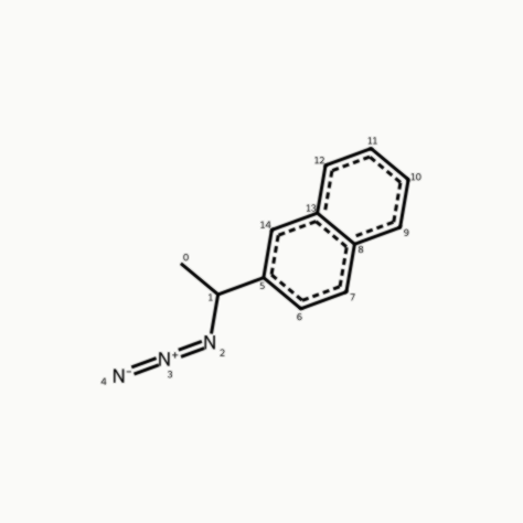 CC(N=[N+]=[N-])c1ccc2ccccc2c1